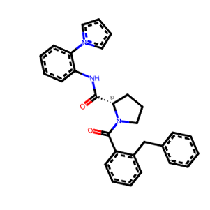 O=C(Nc1ccccc1-n1cccc1)[C@@H]1CCCN1C(=O)c1ccccc1Cc1ccccc1